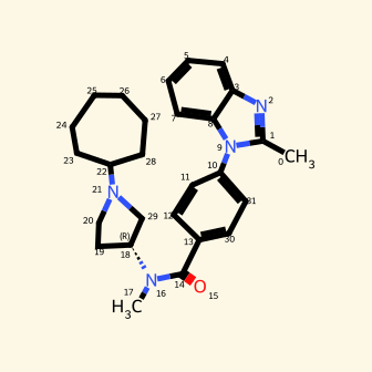 Cc1nc2ccccc2n1-c1ccc(C(=O)N(C)[C@@H]2CCN(C3CCCCCC3)C2)cc1